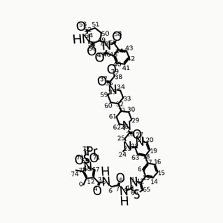 Cc1c(C(=O)NCC(=O)Nc2nc(-c3cccc(-c4ccnc(N(C)CC(=O)N5CCC(C6CCN(C(=O)COc7cccc8c7C(=O)N(C7CCC(=O)NC7=O)C8=O)CC6)CC5)c4)c3)cs2)cn(S(=O)(=O)C(C)C)c1C